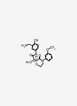 CC(=O)O[C@@H](C(=O)Nc1ccc(C#N)c(CN)c1)[C@H]1OCCN(c2cccc(OC(F)(F)F)c2)C1=O